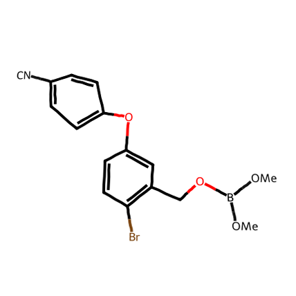 [C-]#[N+]c1ccc(Oc2ccc(Br)c(COB(OC)OC)c2)cc1